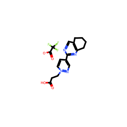 O=C(O)CC[n+]1ccc(-c2ncc3c(n2)CCCC3)cn1.O=C([O-])C(F)(F)F